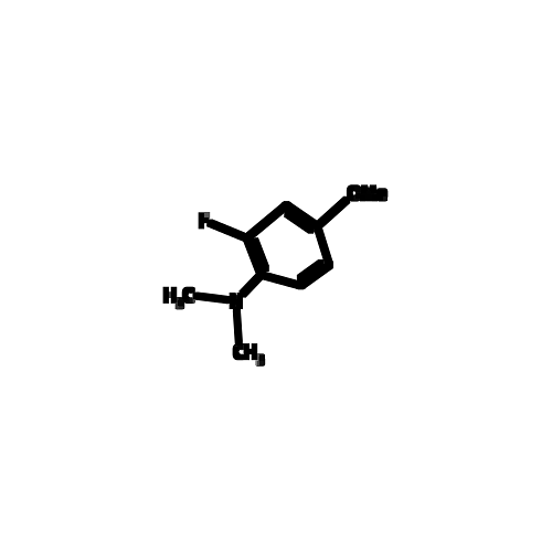 COc1ccc(N(C)C)c(F)c1